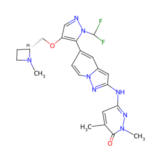 Cc1cc(Nc2cc3cc(-c4c(OC[C@H]5CCN5C)cnn4C(F)F)ccn3n2)nn(C)c1=O